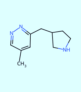 Cc1cnnc(CC2CCNC2)c1